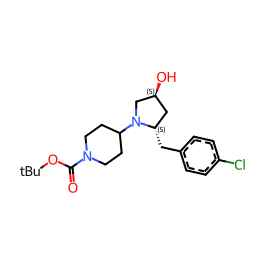 CC(C)(C)OC(=O)N1CCC(N2C[C@@H](O)C[C@@H]2Cc2ccc(Cl)cc2)CC1